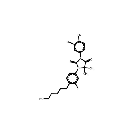 CC1(C)C(=O)N(c2ccc(C#N)c(Cl)c2)C(=S)N1c1ccc(CCCCCO)c(F)c1